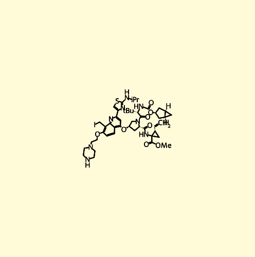 C=C[C@@H]1CC1(NC(=O)[C@@H]1C[C@@H](Oc2cc(-c3csc(NC(C)C)n3)nc3c(CI)c(OCCN4CCNCC4)ccc23)CN1C(=O)[C@@H](NC(=O)O[C@@H]1C[C@@H]2C[C@@H]2C1)C(C)(C)C)C(=O)OC